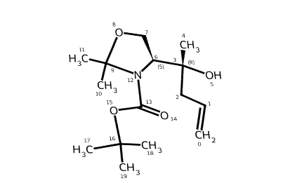 C=CC[C@@](C)(O)[C@@H]1COC(C)(C)N1C(=O)OC(C)(C)C